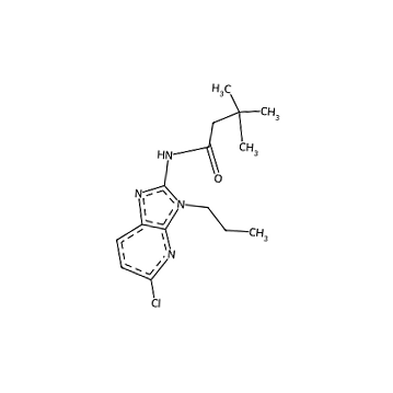 CCCn1c(NC(=O)CC(C)(C)C)nc2ccc(Cl)nc21